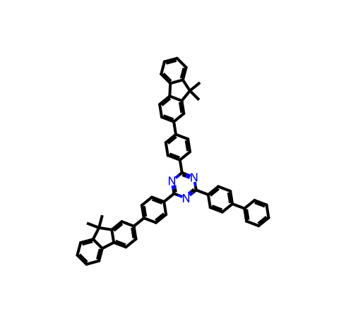 CC1(C)c2ccccc2-c2ccc(-c3ccc(-c4nc(-c5ccc(-c6ccccc6)cc5)nc(-c5ccc(-c6ccc7c(c6)C(C)(C)c6ccccc6-7)cc5)n4)cc3)cc21